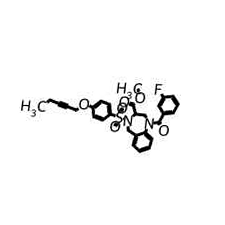 CCC#CCOc1ccc(S(=O)(=O)N2Cc3ccccc3N(C(=O)c3cccc(F)c3)CC2C(=O)OC)cc1